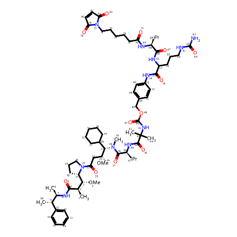 CO[C@H]([C@@H](C)C(=O)N[C@H](C)[C@@H](C)c1ccccc1)[C@@H]1CCCN1C(=O)C[C@@H](OC)[C@H](C1CCCCC1)N(C)C(=O)[C@@H](NC(=O)C(C)(C)NC(=O)OCc1ccc(NC(=O)C(CCCNC(N)=O)NC(=O)[C@@H](NC(=O)CCCCCN2C(=O)C=CC2=O)C(C)C)cc1)C(C)C